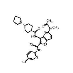 CC(=O)N(C)c1ccc2oc(C(=O)Nc3ccc(Cl)cn3)c(NC(=O)[C@H]3CC[C@H](N4CCCC4)CC3)c2n1